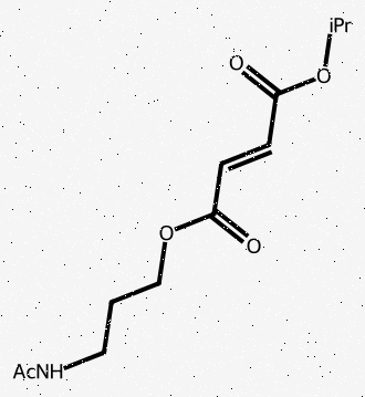 CC(=O)NCCCOC(=O)/C=C/C(=O)OC(C)C